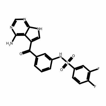 Nc1ncnc2[nH]cc(C(=O)c3cccc(NS(=O)(=O)c4ccc(F)c(F)c4)c3)c12